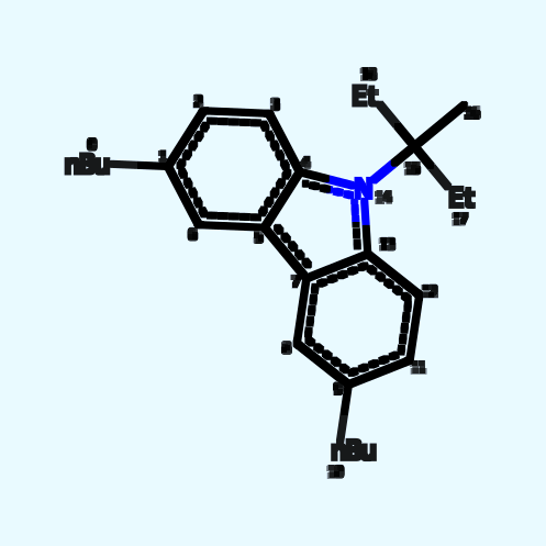 CCCCc1ccc2c(c1)c1cc(CCCC)ccc1n2C(C)(CC)CC